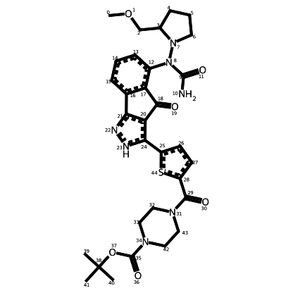 COCC1CCCN1N(C(N)=O)c1cccc2c1C(=O)c1c-2n[nH]c1-c1ccc(C(=O)N2CCN(C(=O)OC(C)(C)C)CC2)s1